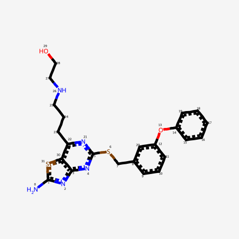 Nc1nc2nc(SCc3cccc(Oc4ccccc4)c3)nc(CCCNCCO)c2s1